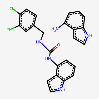 Nc1cccc2[nH]ccc12.O=C(NCc1ccc(Cl)c(Cl)c1)Nc1cccc2[nH]ccc12